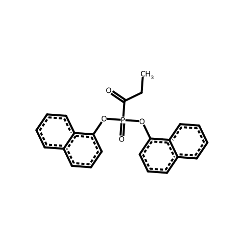 CCC(=O)P(=O)(Oc1cccc2ccccc12)Oc1cccc2ccccc12